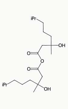 CC(C)CCCC(C)(O)CC(=O)OC(=O)CC(C)(O)CCCC(C)C